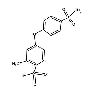 Cc1cc(Oc2ccc(S(C)(=O)=O)cc2)ccc1S(=O)(=O)Cl